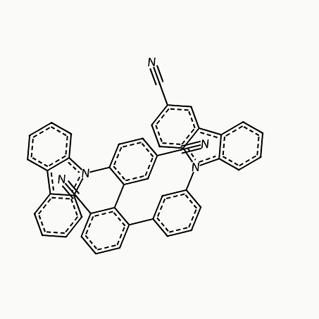 N#Cc1ccc(-n2c3ccccc3c3ccccc32)c(-c2c(C#N)cccc2-c2cccc(-n3c4ccccc4c4cc(C#N)ccc43)c2)c1